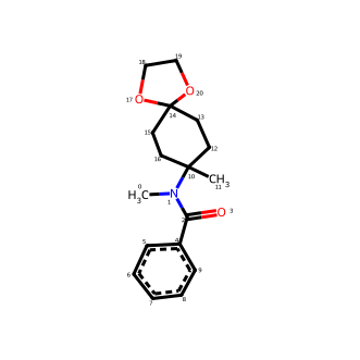 CN(C(=O)c1ccccc1)C1(C)CCC2(CC1)OCCO2